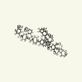 CC(C)Oc1ccccc1[C@@H]1CN(Cc2ccc(C(C)(C)C)nc2)CCN1C1CC2(CCN(c3ccc(C(=O)NS(=O)(=O)c4cc5c(c([N+](=O)[O-])c4)N[C@H](C4CCOCC4)CO5)c(N4c5cc6cc[nH]c6nc5O[C@H]5COCC[C@@H]54)c3)CC2)C1